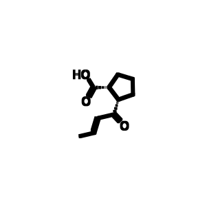 CC=CC(=O)[C@H]1CCC[C@H]1C(=O)O